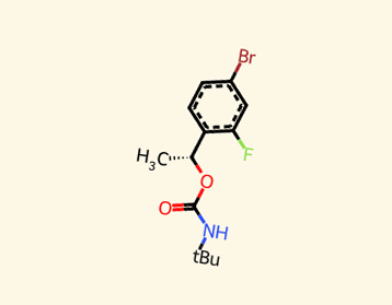 C[C@@H](OC(=O)NC(C)(C)C)c1ccc(Br)cc1F